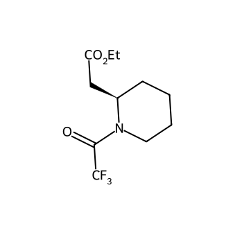 CCOC(=O)C[C@H]1CCCCN1C(=O)C(F)(F)F